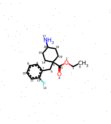 CCOC(=O)C1(Cc2ccccc2F)CCC(N)CC1